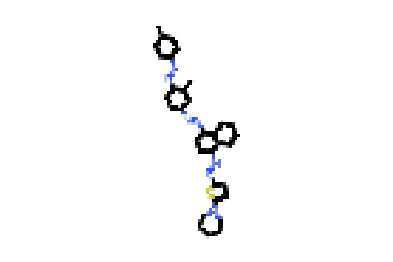 Cc1ccc(N=Nc2ccc(N=Nc3ccc(N=Nc4ccc(N5CCCCC5)s4)c4ccccc34)cc2C)cc1